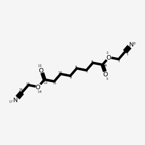 N#CCOC(=O)CCCCCCC(=O)OCC#N